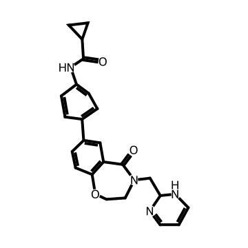 O=C(Nc1ccc(-c2ccc3c(c2)C(=O)N(CC2N=CC=CN2)CCO3)cc1)C1CC1